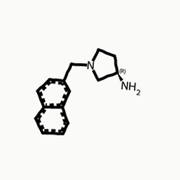 N[C@@H]1CCN(Cc2ccc3ccccc3c2)C1